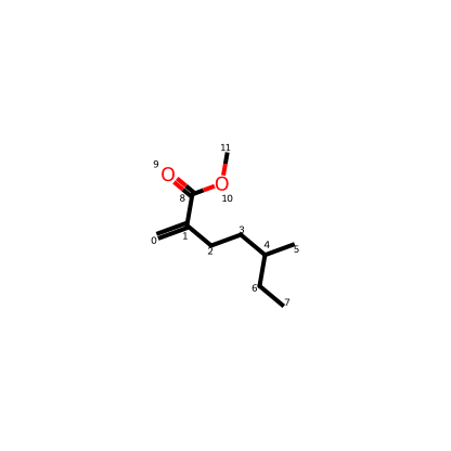 C=C(CCC(C)CC)C(=O)OC